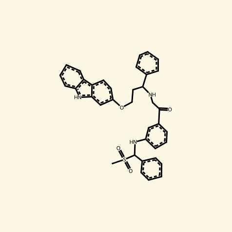 CS(=O)(=O)C(Nc1cccc(C(=O)CNC(CCOc2ccc3c(c2)[nH]c2ccccc23)c2ccccc2)c1)c1ccccc1